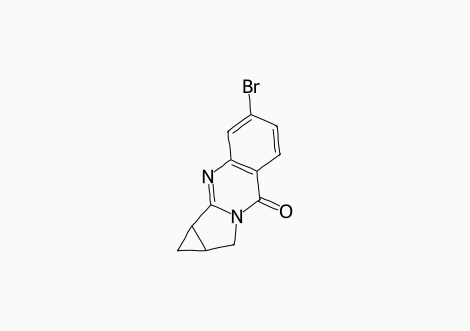 O=c1c2ccc(Br)cc2nc2n1CC1CC21